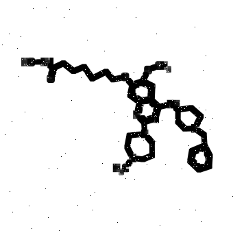 COc1cc2c(NC3CCN(Cc4ccccc4)CC3)nc(N3CCCN(C)CC3)nc2cc1OCCCCCCC(=O)NO